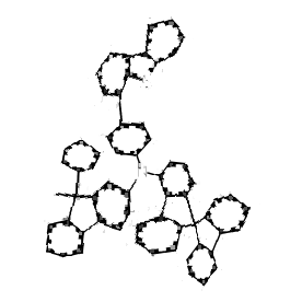 CC1(c2ccccc2)c2ccccc2-c2ccc(N(c3ccc(-c4cccc5c4sc4ccccc45)cc3)c3cccc4c3-c3ccccc3C43c4ccccc4-c4ccccc43)cc21